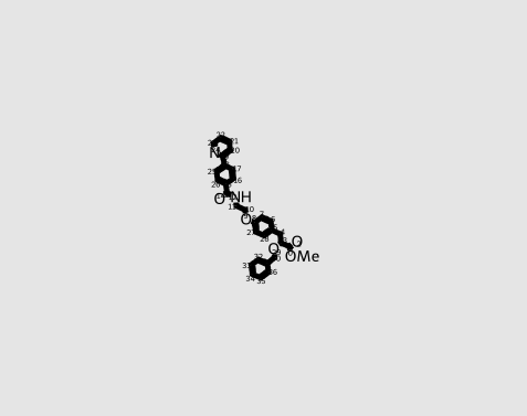 COC(=O)C(Cc1ccc(OCCNC(=O)c2ccc(-c3ccccn3)cc2)cc1)OCc1ccccc1